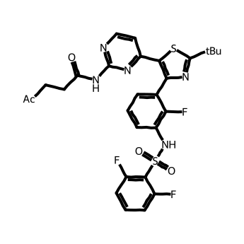 CC(=O)CCC(=O)Nc1nccc(-c2sc(C(C)(C)C)nc2-c2cccc(NS(=O)(=O)c3c(F)cccc3F)c2F)n1